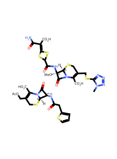 CC(=O)OCC1=C(C(=O)O)N2C(=O)[C@@H](NC(=O)Cc3cccs3)[C@H]2SC1.CO[C@@]1(NC(=O)C2SC(=C(C(N)=O)C(=O)O)S2)C(=O)N2C(C(=O)O)=C(CSc3nnnn3C)CS[C@@H]21